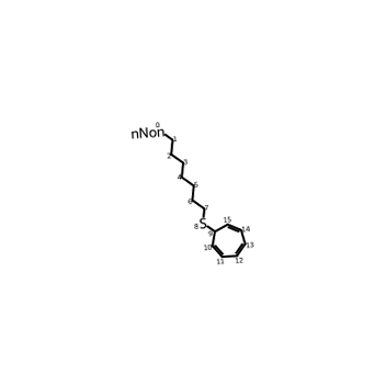 CCCCCCCCCCCCCCCCSC1C=CC=CC=C1